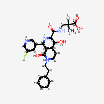 CC(C)(CNC(=O)c1nc(-c2cncc(F)c2)c2c(=O)n(CCc3ccccc3)ccc2c1O)C(=O)O